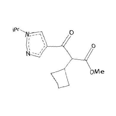 COC(=O)C(C(=O)c1cnn(C(C)C)c1)C1CCC1